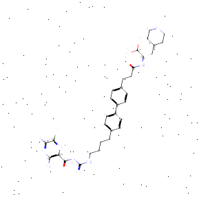 N=C(NCCCCc1ccc(-c2ccc(CCC(=O)N[C@H](CC3CCNCC3)C(O)O)cc2)cc1)NC(=O)c1nc(Cl)c(N)nc1N